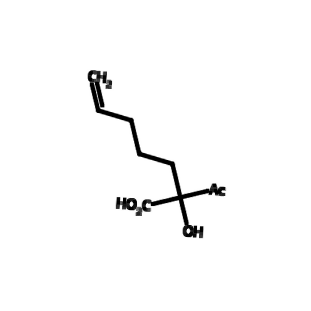 C=CCCCC(O)(C(C)=O)C(=O)O